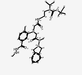 CNNC(=O)c1ccc(C)c(N(CC(=O)NCCN(C(=O)OC(C)(C)C)C(C)C)CC(=O)N(C)N2Cc3ccccc3C2)c1